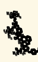 CC(S)c1ccc(CO[C@H](C)[C@H](CCC(N)=O)NC(=O)[C@@H]2Cc3cccc4c3N2C(=O)[C@@H](NC(=O)c2cc3cc(CP(=O)(OCOC(=O)C(C)(C)C)OCOC(=O)C(C)(C)C)ccc3[nH]2)CC4)cc1